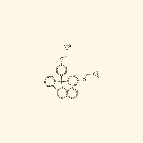 c1ccc2c(c1)-c1ccc3ccccc3c1C2(c1ccc(OCC2CS2)cc1)c1ccc(OCC2CS2)cc1